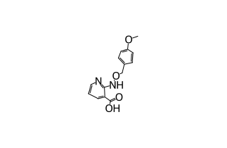 COc1ccc(CONc2ncccc2C(=O)O)cc1